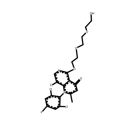 Cc1cc(=O)c2c(OCCOCCOCCO)ncc(Cl)c2n1-c1c(Cl)cc(F)cc1Cl